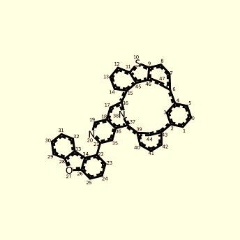 c1cc2cc(c1)c1ccc3sc4cccc(c5cc6cnc(-c7cccc8oc9ccccc9c78)cc6c(n5)c5cccc2c5)c4c3c1